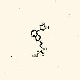 CC(C)(C)OC(=O)NCCc1cc2c(-c3cn[nH]c3)ccnc2[nH]1